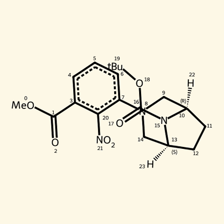 COC(=O)c1cccc(N2C[C@H]3CC[C@@H](C2)N3C(=O)OC(C)(C)C)c1[N+](=O)[O-]